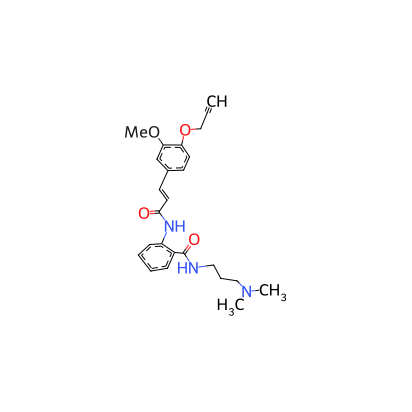 C#CCOc1ccc(/C=C/C(=O)Nc2ccccc2C(=O)NCCCN(C)C)cc1OC